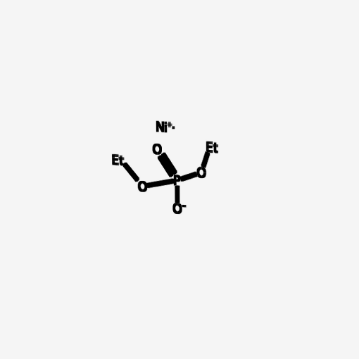 CCOP(=O)([O-])OCC.[Ni+]